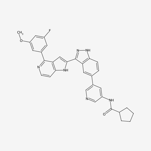 COc1cc(F)cc(-c2nccc3[nH]c(-c4n[nH]c5ccc(-c6cncc(NC(=O)C7CCCC7)c6)cc45)cc23)c1